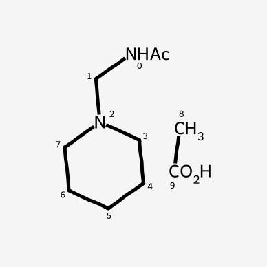 CC(=O)NCN1CCCCC1.CC(=O)O